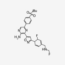 CCC(C)S(=O)(=O)c1ccc(-c2cnc(N)c(-c3cc(C4C=CC(CNCF)=CC4F)no3)n2)cc1